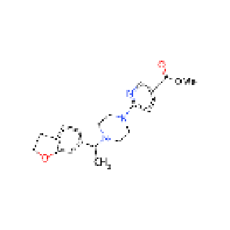 COC(=O)c1ccc(N2CCN(C(C)c3ccc4c(c3)OCC4)CC2)nc1